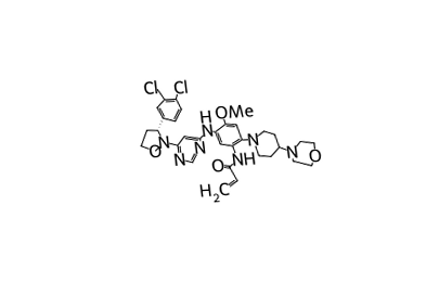 C=CC(=O)Nc1cc(Nc2cc(N3OCC[C@@H]3c3ccc(Cl)c(Cl)c3)ncn2)c(OC)cc1N1CCC(N2CCOCC2)CC1